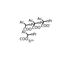 CCCC(C(C)=O)C(=O)[O-].CCCC(C(C)=O)C(=O)[O-].CCCC(C(C)=O)C(=O)[O-].CCCC(C(C)=O)C(=O)[O-].[Ti+4]